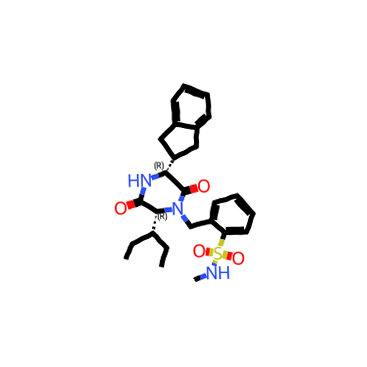 CCC(CC)[C@@H]1C(=O)N[C@H](C2Cc3ccccc3C2)C(=O)N1Cc1ccccc1S(=O)(=O)NC